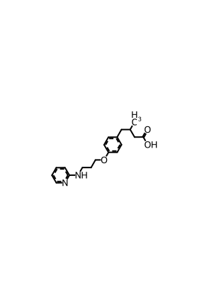 CC(CC(=O)O)Cc1ccc(OCCCNc2ccccn2)cc1